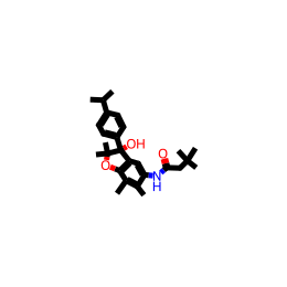 Cc1c(NC(=O)CC(C)(C)C)cc2c(c1C)OC(C)(C)C2(O)c1ccc(C(C)C)cc1